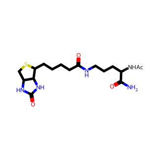 CC(=O)NC(CCCNC(=O)CCCCC1SCC2NC(=O)NC21)C(N)=O